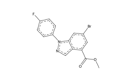 COC(=O)c1cc(Br)cc2c1cnn2-c1ccc(F)cc1